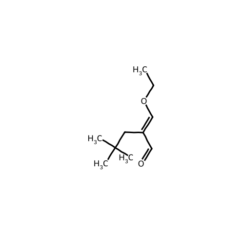 CCO/C=C(/C=O)CC(C)(C)C